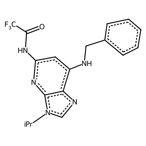 CC(C)n1cnc2c(NCc3ccccc3)cc(NC(=O)C(F)(F)F)nc21